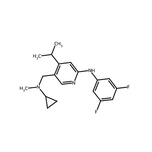 CC(C)c1cc(Nc2cc(F)cc(F)c2)ncc1CN(C)C1CC1